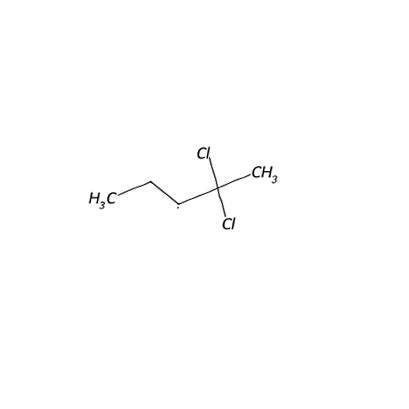 CC[CH]C(C)(Cl)Cl